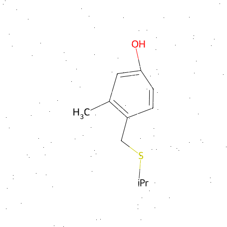 Cc1cc(O)ccc1CSC(C)C